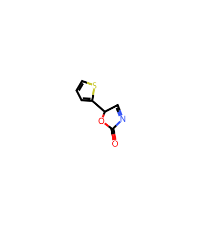 O=C1N=CC(c2cccs2)O1